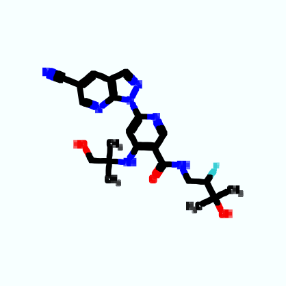 CC(C)(CO)Nc1cc(-n2ncc3cc(C#N)cnc32)ncc1C(=O)NCC(F)C(C)(C)O